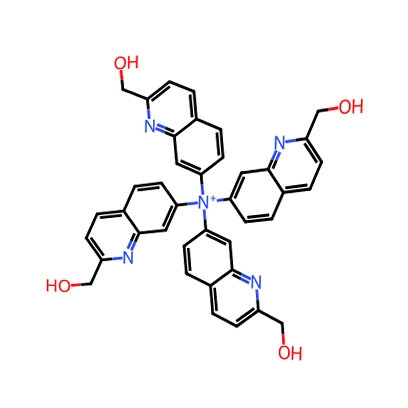 OCc1ccc2ccc([N+](c3ccc4ccc(CO)nc4c3)(c3ccc4ccc(CO)nc4c3)c3ccc4ccc(CO)nc4c3)cc2n1